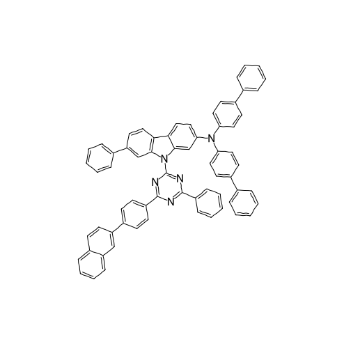 c1ccc(-c2ccc(N(c3ccc(-c4ccccc4)cc3)c3ccc4c5ccc(-c6ccccc6)cc5n(-c5nc(-c6ccccc6)nc(-c6ccc(-c7ccc8ccccc8c7)cc6)n5)c4c3)cc2)cc1